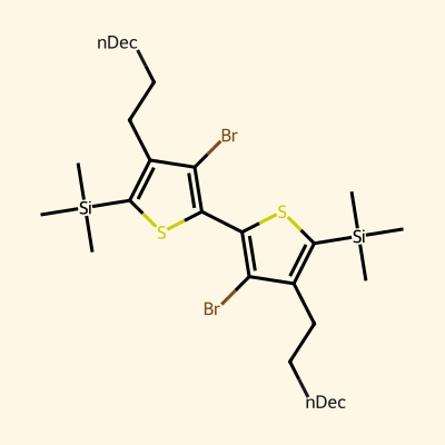 CCCCCCCCCCCCc1c([Si](C)(C)C)sc(-c2sc([Si](C)(C)C)c(CCCCCCCCCCCC)c2Br)c1Br